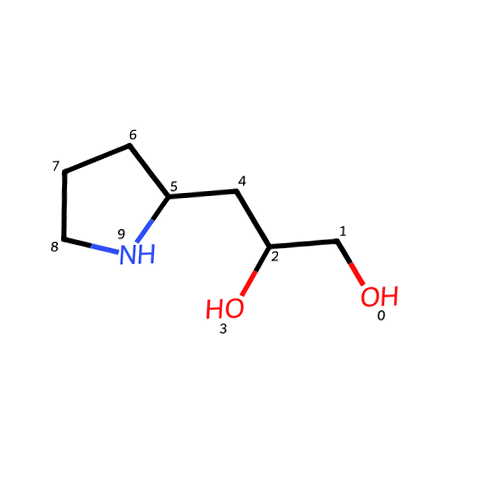 OCC(O)CC1CCCN1